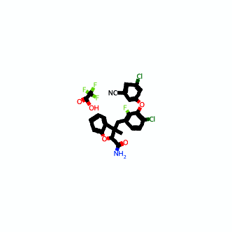 CC1(Cc2ccc(Cl)c(Oc3cc(Cl)cc(C#N)c3)c2F)c2ccccc2OC1C(N)=O.O=C(O)C(F)(F)F